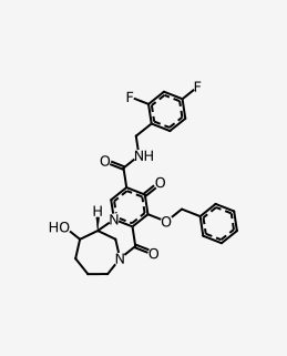 O=C(NCc1ccc(F)cc1F)c1cn2c(c(OCc3ccccc3)c1=O)C(=O)N1CCCC(O)[C@H]2C1